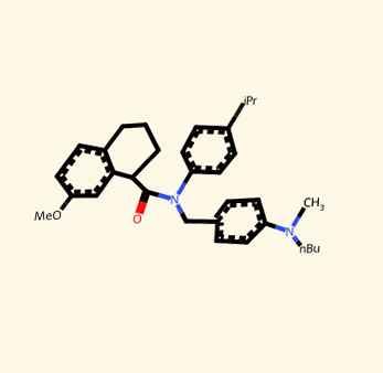 CCCCN(C)c1ccc(CN(C(=O)C2CCCc3ccc(OC)cc32)c2ccc(C(C)C)cc2)cc1